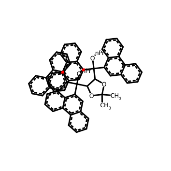 CCCOC(c1cc2ccccc2c2ccccc12)(c1cc2ccccc2c2ccccc12)C1OC(C)(C)OC1C(OCCC)(c1cc2ccccc2c2ccccc12)c1cc2ccccc2c2ccccc12